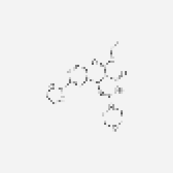 CCOC(=O)C1C(=O)NC(N2CCOCC2)=NC1c1cccc(C2OCCO2)c1